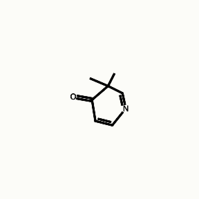 CC1(C)C=NC=CC1=O